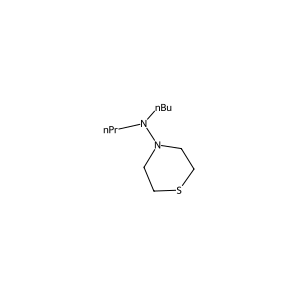 CCCCN(CCC)N1CCSCC1